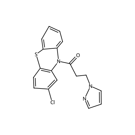 O=C(CCn1cccn1)N1c2ccccc2Sc2ccc(Cl)cc21